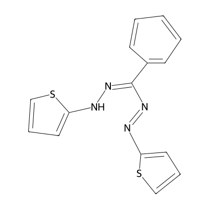 c1ccc(C(N=Nc2cccs2)=NNc2cccs2)cc1